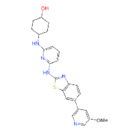 COc1cncc(-c2ccc3nc(Nc4cccc(NC5CCC(O)CC5)n4)sc3c2)c1